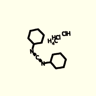 C.C(=NC1CCCCC1)=NC1CCCCC1.Cl.Cl